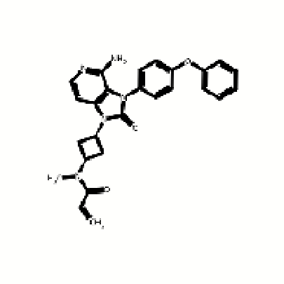 C=CC(=O)N(C)[C@H]1C[C@@H](n2c(=O)n(-c3ccc(Oc4ccccc4)cc3)c3c(N)nccc32)C1